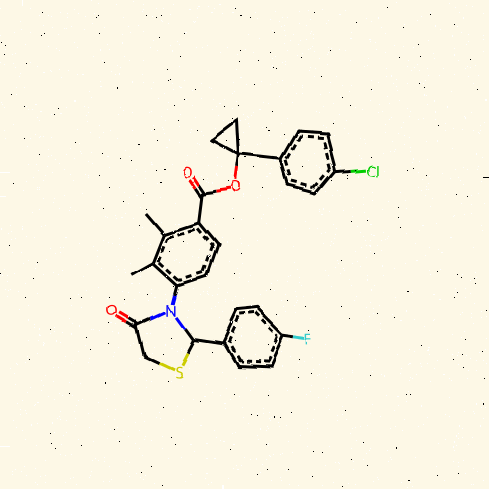 Cc1c(C(=O)OC2(c3ccc(Cl)cc3)CC2)ccc(N2C(=O)CSC2c2ccc(F)cc2)c1C